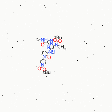 CN(C(=O)OC(C)(C)C)c1cc(Nc2cccn(C3=CCN(C(=O)OC(C)(C)C)CC3)c2=O)nc2c(C(=O)NC3CC3)cnn12